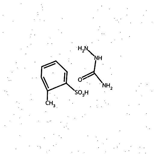 Cc1ccccc1S(=O)(=O)O.NNC(N)=O